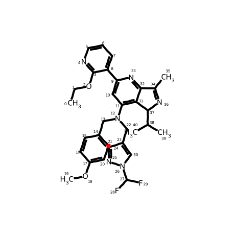 CCOc1ncccc1-c1cc(N(Cc2ccc(OC)cc2)Cc2cnn(C(F)F)c2)c2c(n1)C(C)=NC2C(C)C